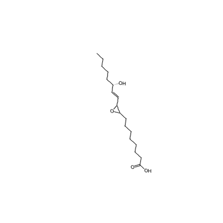 CCCCC[C@H](O)/C=C/C1OC1CCCCCCCC(=O)O